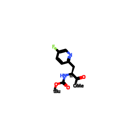 COC(=O)[C@H](Cc1ccc(F)cn1)NC(=O)OC(C)(C)C